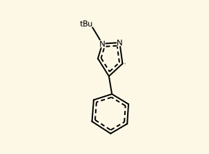 CC(C)(C)n1cc(-c2ccccc2)[c]n1